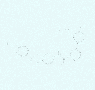 Cc1ccc(S(=O)(=O)Cc2ccc(NC(=O)c3cccc(-c4cnc(C)c(C(=O)O)c4)c3)cc2)cn1